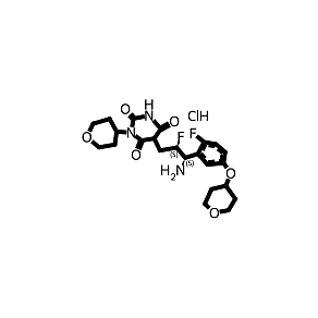 Cl.N[C@@H](c1cc(OC2CCOCC2)ccc1F)[C@@H](F)CC1C(=O)NC(=O)N(C2CCOCC2)C1=O